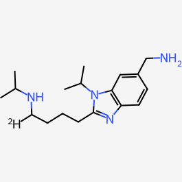 [2H]C(CCCc1nc2ccc(CN)cc2n1C(C)C)NC(C)C